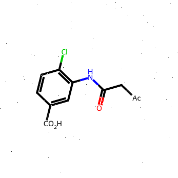 CC(=O)CC(=O)Nc1cc(C(=O)O)ccc1Cl